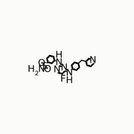 NS(=O)(=O)c1cccc(Nc2ncc(F)c(Nc3ccc(Cc4cccnc4)cc3)n2)c1